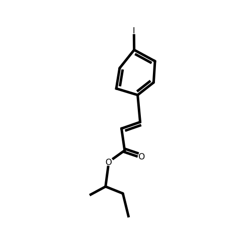 CCC(C)OC(=O)C=Cc1ccc(I)cc1